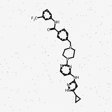 O=C(Nc1cccc(C(F)(F)F)c1)c1ccc(CN2CCN(c3nccc(Nc4cc(C5CC5)[nH]n4)n3)CC2)cc1